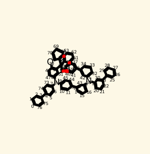 c1ccc(-c2ccc(N(c3ccc(-c4cccc(N(c5cccc(-c6ccccc6)c5)c5cccc(-c6ccccc6)c5)c4)cc3)c3ccc4c(c3)C3(c5ccccc5Oc5ccccc53)c3ccccc3O4)cc2)cc1